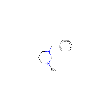 CC(C)(C)N1CCCN(Cc2ccccc2)C1